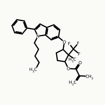 C=C(C)C(=O)OC1CCC(Oc2ccc3cc(-c4ccccc4)n(CCCCC)c3c2)C1(C)C(F)(F)F